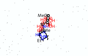 C=Cc1c(C)c2cc3nc(c4c5[nH]c(cc6nc(cc1[nH]2)C(C)=C6CC)c(C)c5C(=O)C4C(=O)OC)[C@@H](CCC(=O)NC1C[C@@H](O[C@H]2C[C@](O)(C(=O)CO)Cc4c(O)c5c(c(O)c42)C(=O)c2c(OC)cccc2C5=O)O[C@H](C)[C@@H]1O)[C@@H]3C